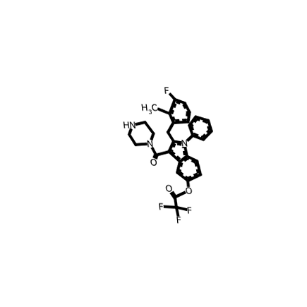 Cc1c(F)cccc1Cc1c(C(=O)N2CCNCC2)c2cc(OC(=O)C(F)(F)F)ccc2n1-c1ccccc1